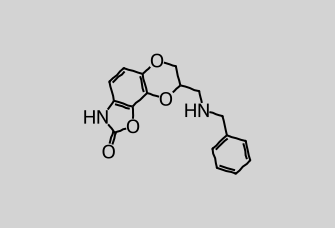 O=c1[nH]c2ccc3c(c2o1)OC(CNCc1ccccc1)CO3